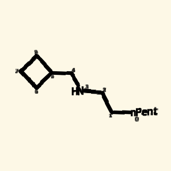 CCCCCCCNCC1CCC1